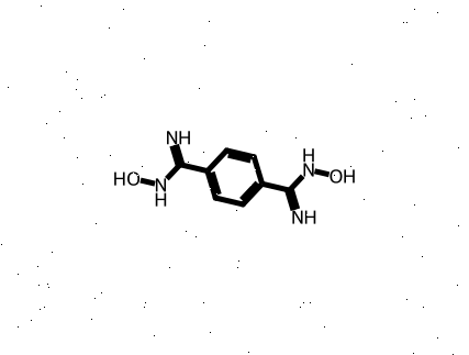 N=C(NO)c1ccc(C(=N)NO)cc1